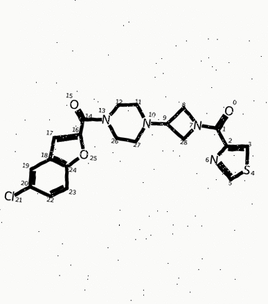 O=C(c1cscn1)N1CC(N2CCN(C(=O)c3cc4cc(Cl)ccc4o3)CC2)C1